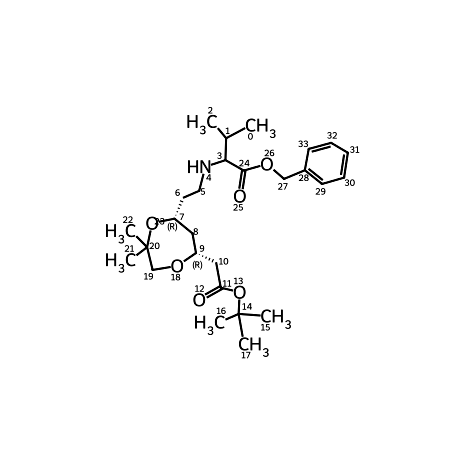 CC(C)C(NCC[C@@H]1C[C@H](CC(=O)OC(C)(C)C)OCC(C)(C)O1)C(=O)OCc1ccccc1